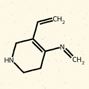 C=CC1=C(N=C)CCNC1